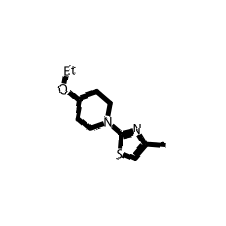 CCOC1CCN(c2nc(C)cs2)CC1